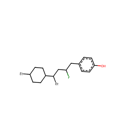 CCC1CCC(C(CC)CC(F)Cc2ccc(O)cc2)CC1